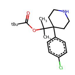 CC(C)(C)C(=O)OC(C)(C)C1(c2ccc(Cl)cc2)CCNCC1